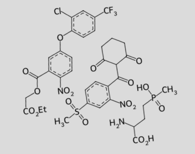 CCOC(=O)COC(=O)c1cc(Oc2ccc(C(F)(F)F)cc2Cl)ccc1[N+](=O)[O-].CP(=O)(O)CCC(N)C(=O)O.CS(=O)(=O)c1ccc(C(=O)C2C(=O)CCCC2=O)c([N+](=O)[O-])c1